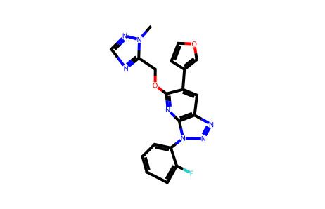 Cn1ncnc1COc1nc2c(cc1-c1ccoc1)nnn2-c1ccccc1F